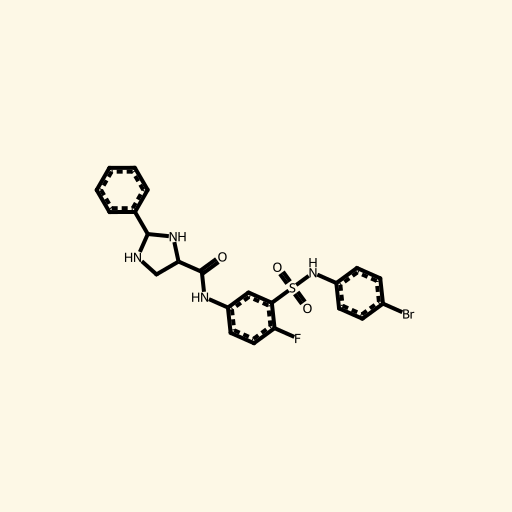 O=C(Nc1ccc(F)c(S(=O)(=O)Nc2ccc(Br)cc2)c1)C1CNC(c2ccccc2)N1